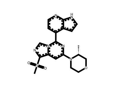 C[C@@H]1COCCN1c1cc2c(S(C)(=O)=O)ncn2c(-c2ccnc3[nH]ccc23)n1